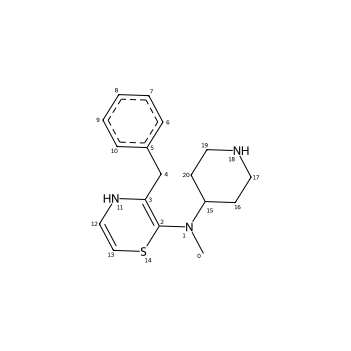 CN(C1=C(Cc2ccccc2)NC=CS1)C1CCNCC1